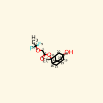 CCC1(OC(=O)COC(C)(F)F)C2CC3CC1CC(O)(C3)C2